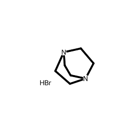 Br.C1CN2CCN1CC2